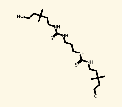 CC(C)(CCO)CCNC(=S)NCCCNC(=S)NCCC(C)(C)CCO